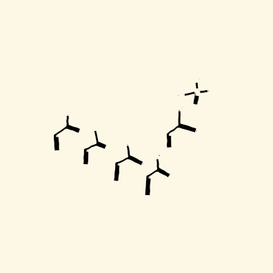 C=CC(=O)O.C=CC(=O)O.C=CC(=O)O.C=CC(=O)O.C=CC(=O)O.O=P(O)(O)O